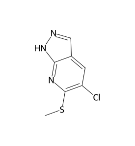 CSc1nc2[nH]ncc2cc1Cl